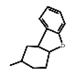 CC1CCC2Oc3ccccc3C2C1